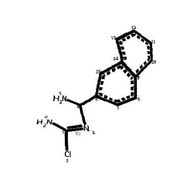 N/C(Cl)=N\C(N)c1ccc2ccccc2c1